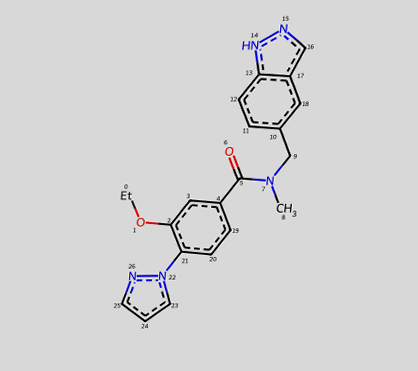 CCOc1cc(C(=O)N(C)Cc2ccc3[nH]ncc3c2)ccc1-n1cccn1